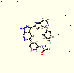 CC(C)C(=O)Nc1cncc(-c2cc3c(-c4cc5c(-c6ccc(F)cc6)nccc5[nH]4)n[nH]c3cn2)c1